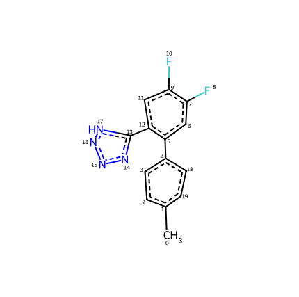 Cc1ccc(-c2cc(F)c(F)cc2-c2nnn[nH]2)cc1